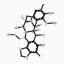 CCCCOC[C@H]1c2c3c(c(C)c(O)c2C(O)[C@H]2[C@H]4c5c(cc(C)c(OC)c5OCCCC)C[C@H]([C@H](C#N)N12)N4C)OCO3